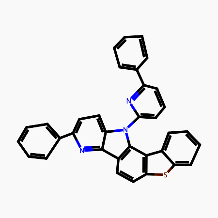 c1ccc(-c2cccc(-n3c4ccc(-c5ccccc5)nc4c4ccc5sc6ccccc6c5c43)n2)cc1